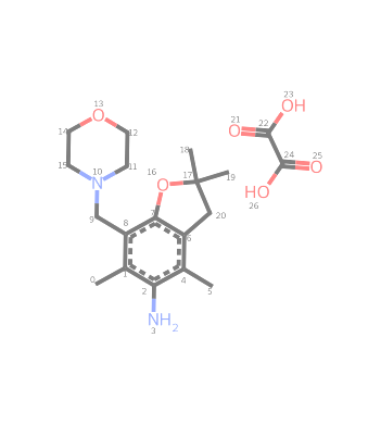 Cc1c(N)c(C)c2c(c1CN1CCOCC1)OC(C)(C)C2.O=C(O)C(=O)O